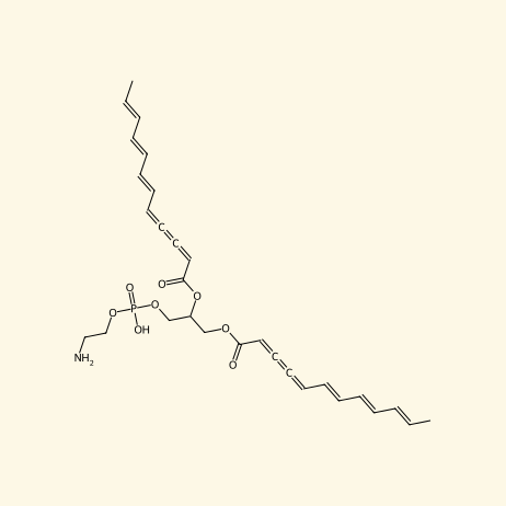 CC=CC=CC=CC=C=C=CC(=O)OCC(COP(=O)(O)OCCN)OC(=O)C=C=C=CC=CC=CC=CC